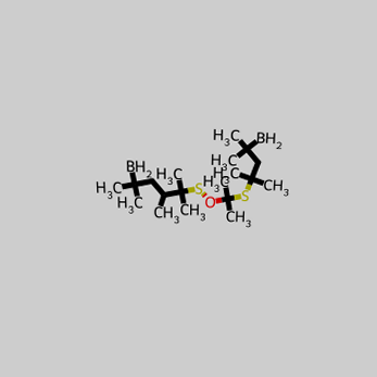 BC(C)(C)CC(C)C(C)(C)SOC(C)(C)SC(C)(C)CC(B)(C)C